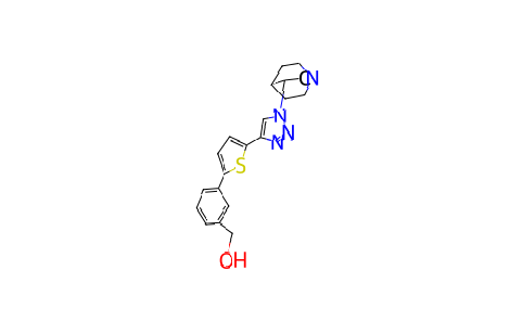 OCc1cccc(-c2ccc(-c3cn(C4CN5CCC4CC5)nn3)s2)c1